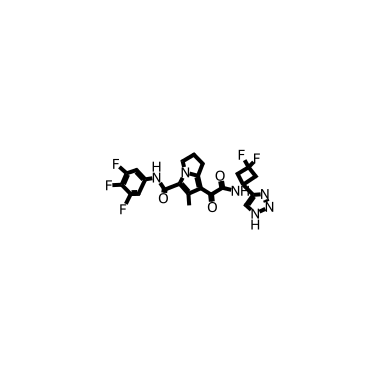 Cc1c(C(=O)C(=O)NC2(c3c[nH]nn3)CC(F)(F)C2)c2n(c1C(=O)Nc1cc(F)c(F)c(F)c1)CCC2